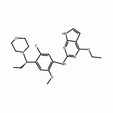 CCOc1nc(Nc2cc(F)c([C@@H](CC)N3CCOCC3)cc2OC)nc2[nH]ccc12